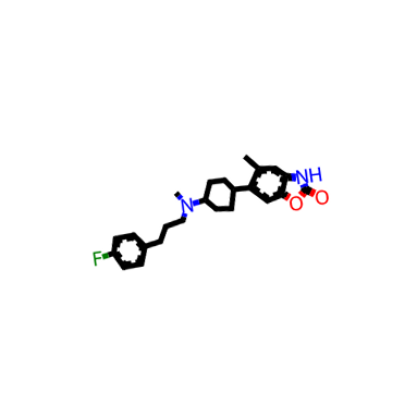 Cc1cc2[nH]c(=O)oc2cc1C1CCC(N(C)CCCc2ccc(F)cc2)CC1